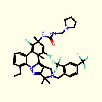 CCc1cccc2c1-n1nc3c(c1C1(C)C(F)=CC(C)(NC(=O)NCN4CCCC4)C(F)=C21)CN(Cc1ccc(C(F)(F)F)cc1C(F)(F)F)C3(C)C